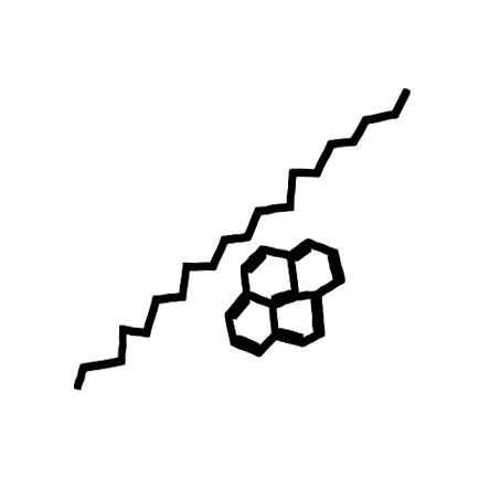 CCCCCCCCCCCCCCCCCCCC.c1cc2ccc3cccc4ccc(c1)c2c34